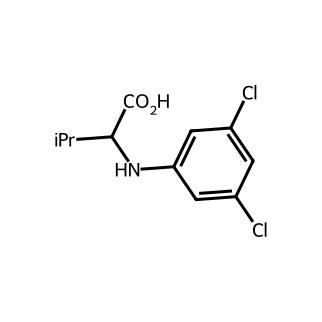 CC(C)C(Nc1cc(Cl)cc(Cl)c1)C(=O)O